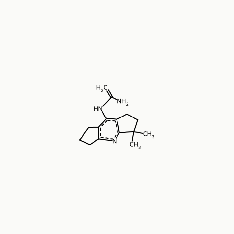 C=C(N)Nc1c2c(nc3c1CCC3(C)C)CCC2